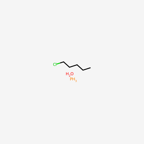 CCCCCCl.O.P